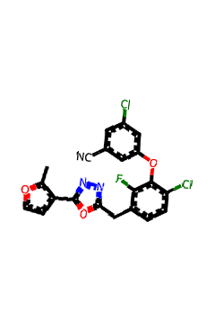 Cc1occc1-c1nnc(Cc2ccc(Cl)c(Oc3cc(Cl)cc(C#N)c3)c2F)o1